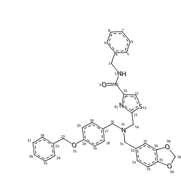 O=C(NCc1ccccc1)c1csc(CN(Cc2ccc(OCc3ccccc3)cc2)Cc2ccc3c(c2)OCO3)n1